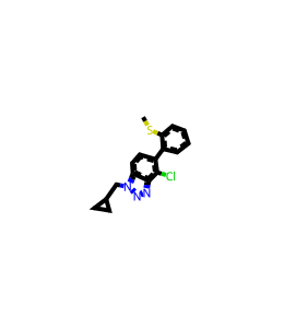 CSc1ccccc1-c1ccc2c(nnn2CC2CC2)c1Cl